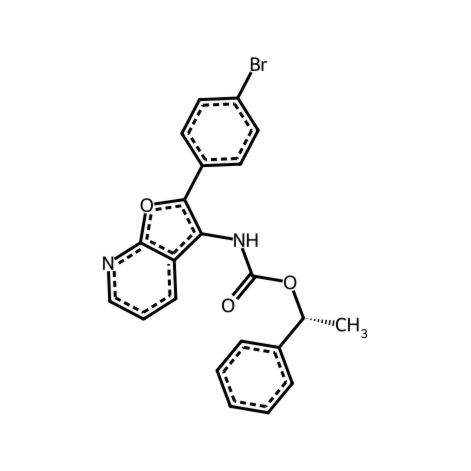 C[C@@H](OC(=O)Nc1c(-c2ccc(Br)cc2)oc2ncccc12)c1ccccc1